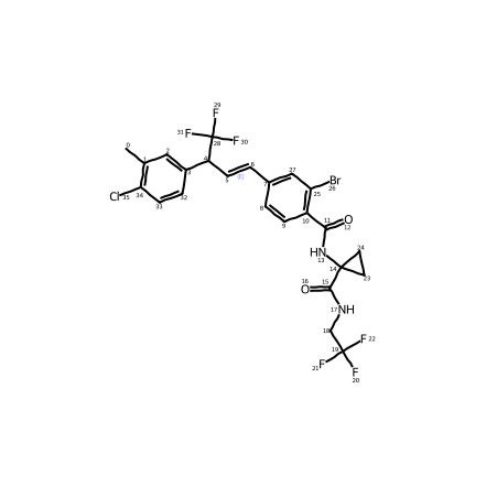 Cc1cc(C(/C=C/c2ccc(C(=O)NC3(C(=O)NCC(F)(F)F)CC3)c(Br)c2)C(F)(F)F)ccc1Cl